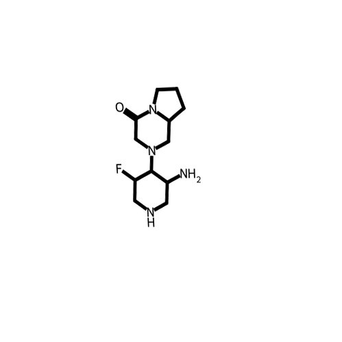 NC1CNCC(F)C1N1CC(=O)N2CCCC2C1